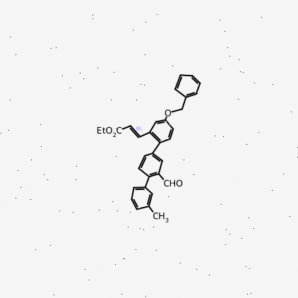 CCOC(=O)/C=C/c1cc(OCc2ccccc2)ccc1-c1ccc(-c2cccc(C)c2)c(C=O)c1